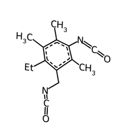 CCc1c(C)c(C)c(N=C=O)c(C)c1CN=C=O